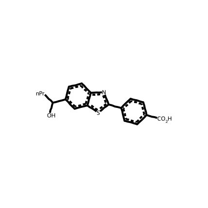 CCCC(O)c1ccc2nc(-c3ccc(C(=O)O)cc3)sc2c1